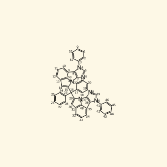 c1ccc(-n2cnc3c2c2cccc4cc(C(c5ccccc5)(c5ccccc5)c5cc6cccc7c8c(ncn8-c8ccccc8)n5c67)n3c42)cc1